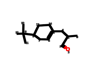 CC(C=O)CC1=CCC(C(C)(C)C)CC1